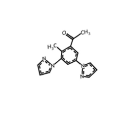 CC(=O)c1cc(-n2cccn2)cc(-n2cccn2)c1C